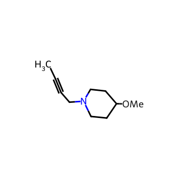 CC#CCN1CCC(OC)CC1